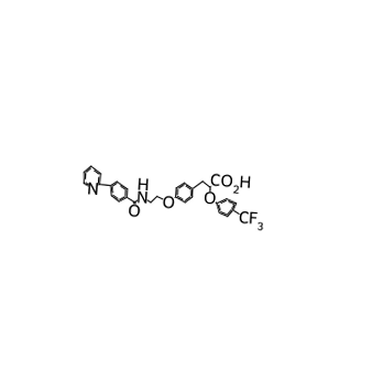 O=C(NCCOc1ccc(CC(Oc2ccc(C(F)(F)F)cc2)C(=O)O)cc1)c1ccc(-c2ccccn2)cc1